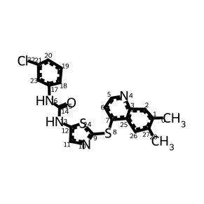 Cc1cc2nccc(Sc3ncc(NC(=O)Nc4cccc(Cl)c4)s3)c2cc1C